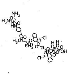 CN(CCN(C)C(=O)Oc1cc2c(c3ccccc13)[C@H](CCl)CN2C(=O)C12CC(C(=O)N3C[C@@H](CCl)c4c3cc(O[C@@H]3O[C@H](C(=O)O)[C@@H](O)[C@H](O)[C@H]3O)c3ccccc43)(C1)C2)C(=O)OCc1ccc(NC(=O)C(CCCN)NC(N)=O)cc1